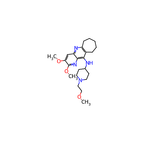 COCCN1CCC(Nc2c3c(nc4cc(OC)c(OC)nc24)CCCCC3)CC1